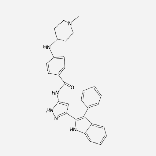 CN1CCC(Nc2ccc(C(=O)Nc3cc(-c4[nH]c5ccccc5c4-c4ccccc4)n[nH]3)cc2)CC1